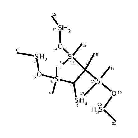 C[SiH2]O[Si](C)(C)[C]([SiH3])C(C)([Si](C)(C)O[SiH2]C)[Si](C)(C)O[SiH2]C